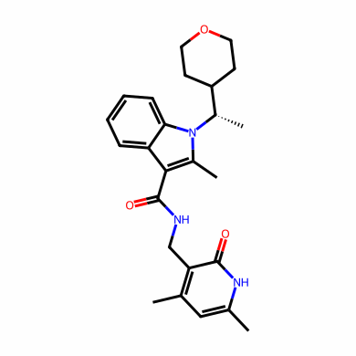 Cc1cc(C)c(CNC(=O)c2c(C)n([C@@H](C)C3CCOCC3)c3ccccc23)c(=O)[nH]1